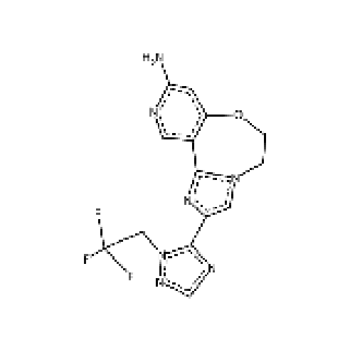 Nc1cc2c(cn1)-c1nc(-c3ncnn3CC(F)(F)F)cn1CCO2